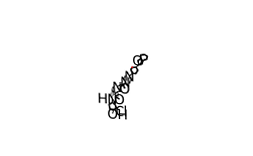 O=C(Nc1ccc(O)c(Cl)c1)[C@@H]1CCN(CC(=O)N2CCN(c3ccc(-c4cc5ccccc5o4)cc3)CC2)C1